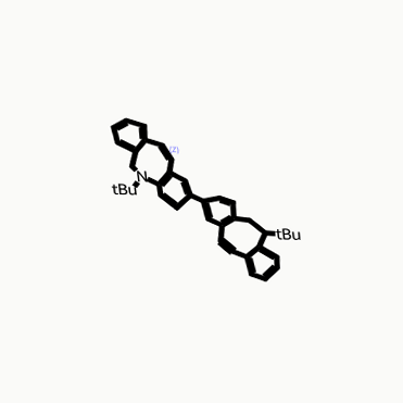 CC(C)(C)C1Cc2ccc(-c3ccc4c(c3)/C=C\c3ccccc3CN4C(C)(C)C)cc2C#Cc2ccccc21